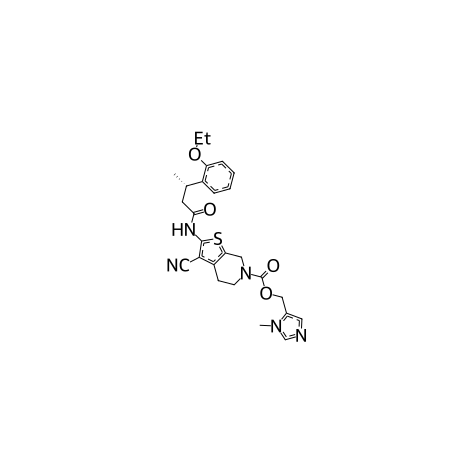 CCOc1ccccc1[C@@H](C)CC(=O)Nc1sc2c(c1C#N)CCN(C(=O)OCc1cncn1C)C2